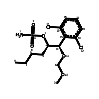 CCCC[C@@H](OS(N)(=O)=O)[C@H](OCOC)c1c(Cl)cccc1Cl